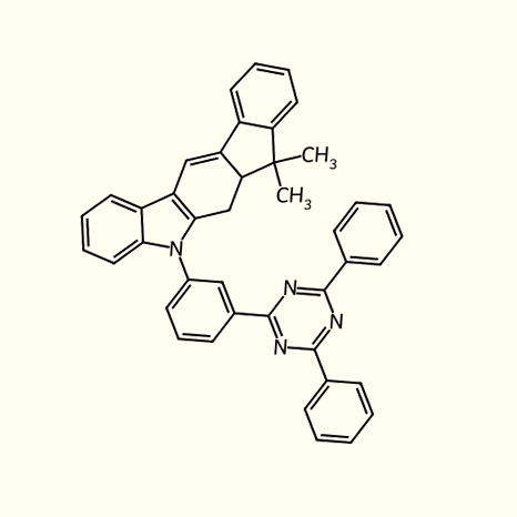 CC1(C)c2ccccc2C2=Cc3c(n(-c4cccc(-c5nc(-c6ccccc6)nc(-c6ccccc6)n5)c4)c4ccccc34)CC21